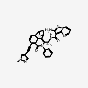 C[C@@H](NC(=O)c1c(N)nn2cccnc12)C1=C2C3CC(O3)C3C=CC(C#Cc4cnn(C)c4)=C(C(=O)N1c1ccccc1)C23